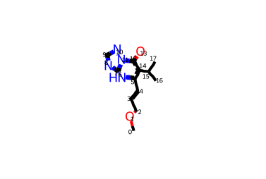 COC/C=C/c1[nH]c2ncnn2c(=O)c1C(C)C